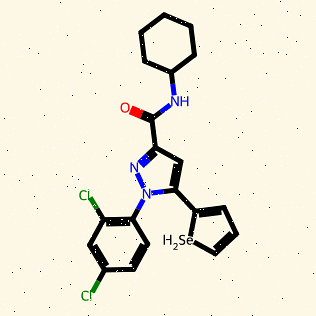 O=C(NC1CCCCC1)c1cc(C2=CC=C[SeH2]2)n(-c2ccc(Cl)cc2Cl)n1